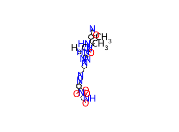 COc1cc(C2N[C@@H](C)N(C(=O)Nc3cnc(N4CCC(CCN5CCN(c6ccc7c(c6)C(=O)N(C6CCC(=O)NC6=O)C7=O)CC5)CC4)nc3)C[C@@H]2C)ccc1C#N